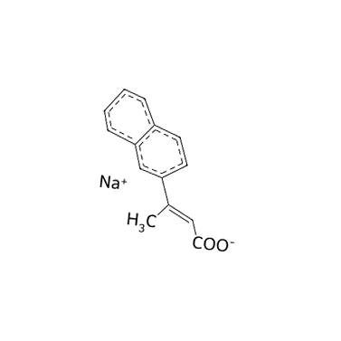 CC(=CC(=O)[O-])c1ccc2ccccc2c1.[Na+]